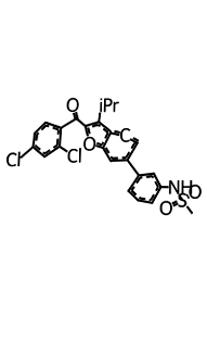 CC(C)c1c(C(=O)c2ccc(Cl)cc2Cl)oc2cc(-c3cccc(NS(C)(=O)=O)c3)ccc12